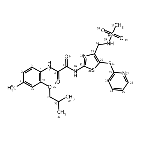 Cc1ccc(NC(=O)C(=O)Nc2nc(CNS(C)(=O)=O)c(Sc3ccccn3)s2)c(OCC(C)C)c1